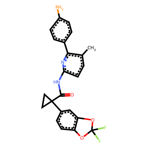 Cc1ccc(NC(=O)C2(c3ccc4c(c3)OC(F)(F)O4)CC2)nc1-c1ccc(P)cc1